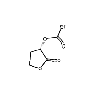 CCC(=O)O[C@H]1CCOC1=O